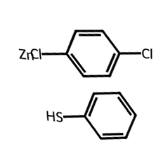 Clc1ccc(Cl)cc1.Sc1ccccc1.[Zn]